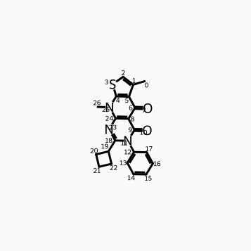 Cc1csc2c1c(=O)c1c(=O)n(-c3ccccc3)c(C3CCC3)nc1n2C